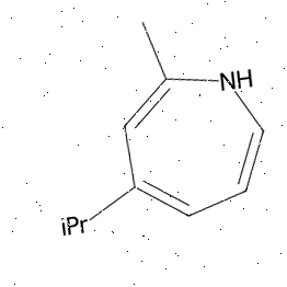 CC1=CC(C(C)C)=CC=CN1